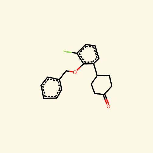 O=C1CCC(c2cccc(F)c2OCc2ccccc2)CC1